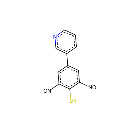 O=Nc1cc(-c2cccnc2)cc(N=O)c1S